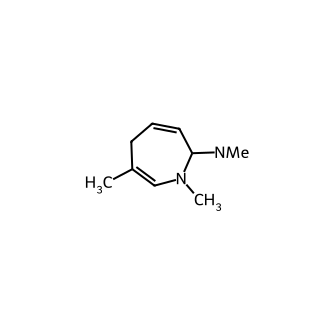 CNC1C=CCC(C)=CN1C